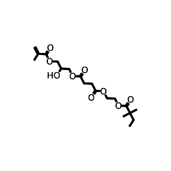 C=C(C)C(=O)OCC(O)COC(=O)CCC(=O)OCCOC(=O)C(C)(C)CC